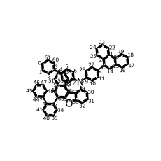 c1ccc(-c2ccc(N(c3ccc(-c4cc5ccccc5c5ccccc45)cc3)c3cccc4oc5c(-c6ccccc6-c6ccccc6)cc6ccccc6c5c34)cc2)cc1